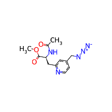 COC(=O)[C@H](Cc1cc(CN=[N+]=[N-])ccn1)NC(C)=O